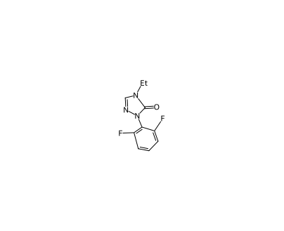 CCn1cnn(-c2c(F)cccc2F)c1=O